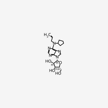 C=CCN(c1ncnc2c1ncn2[C@@H]1O[C@H](CO)[C@@H](O)[C@H]1O)C1CCCC1